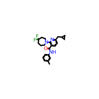 Cc1cccc(NC(=O)c2ccc(CC3CC3)nc2N2CCCC(F)(F)CC2)c1